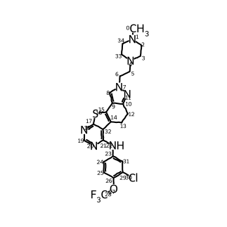 CN1CCN(CCn2cc3c(n2)CCc2c-3sc3ncnc(Nc4ccc(OC(F)(F)F)c(Cl)c4)c23)CC1